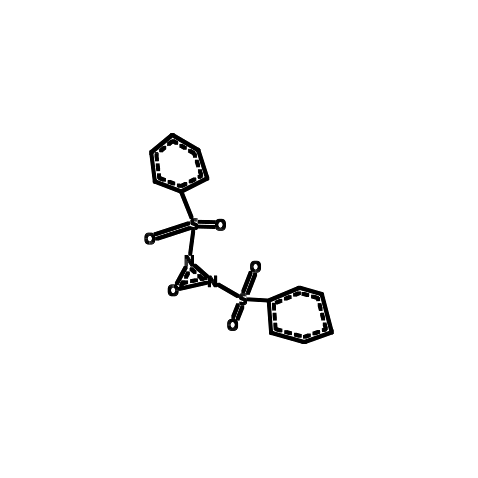 O=S(=O)(c1ccccc1)n1on1S(=O)(=O)c1ccccc1